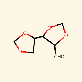 O=CC1OCOC1C1COCO1